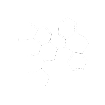 CCC(C)N1CN(C2c3ccccc3CCc3ccccc32)n2ccc(=O)c(C)c2C1=O